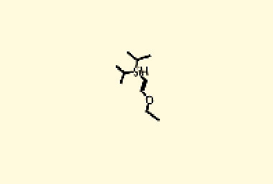 CCOC=C[SiH](C(C)C)C(C)C